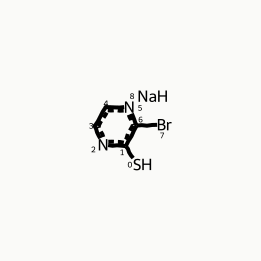 Sc1nccnc1Br.[NaH]